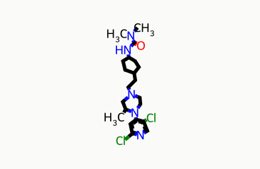 CC1CN(CCC2CCC(NC(=O)N(C)C)CC2)CCN1c1cc(Cl)ncc1Cl